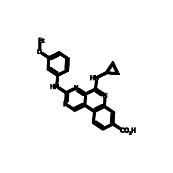 CCOc1cccc(Nc2ncc3c(n2)c(NC2CC2)nc2cc(C(=O)O)ccc23)c1